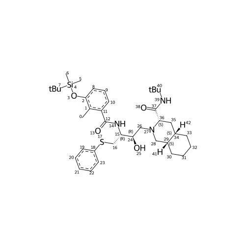 Cc1c(O[Si](C)(C)C(C)(C)C)cccc1C(=O)N[C@@H](CSc1ccccc1)[C@H](O)CN1C[C@H]2CCCC[C@H]2C[C@H]1C(=O)NC(C)(C)C